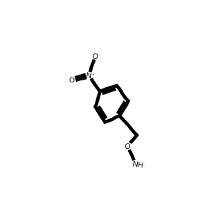 [NH]OCc1ccc([N+](=O)[O-])cc1